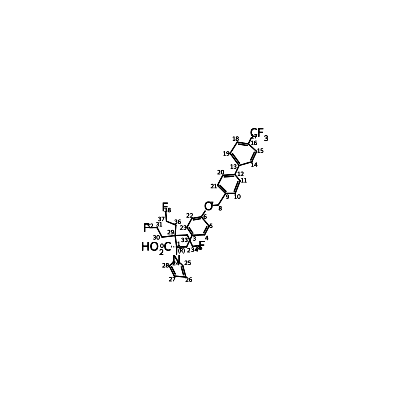 O=C(O)[C@](Cc1ccc(OCc2ccc(-c3ccc(C(F)(F)F)cc3)cc2)cc1)(n1cccc1)C(CCF)(CCF)CCF